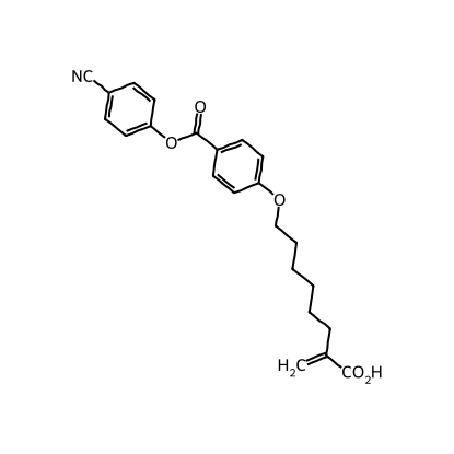 C=C(CCCCCCOc1ccc(C(=O)Oc2ccc(C#N)cc2)cc1)C(=O)O